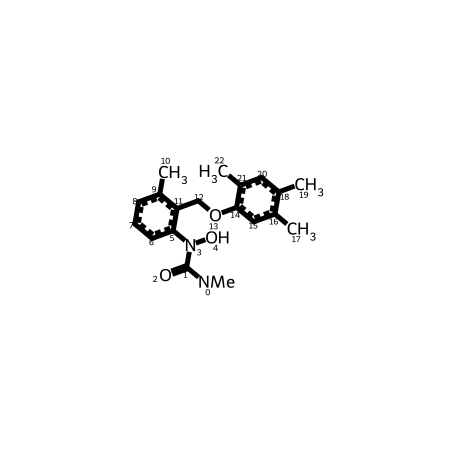 CNC(=O)N(O)c1cccc(C)c1COc1cc(C)c(C)cc1C